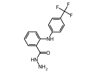 NNC(=O)c1ccccc1Nc1ccc(C(F)(F)F)cc1